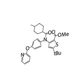 COC(=O)c1sc(C(C)(C)C)cc1N(C(=O)C1CCC(C)CC1)c1ccc(Oc2ccccn2)cc1